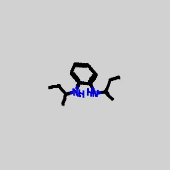 CCC(C)Nc1ccccc1NC(C)CC